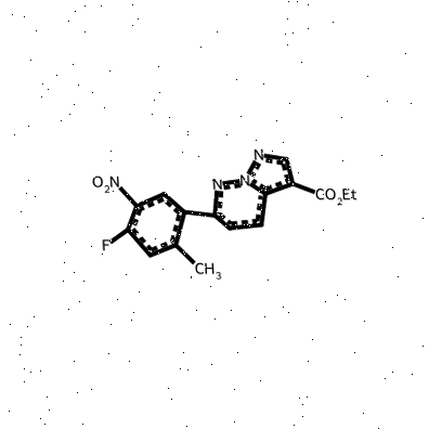 CCOC(=O)c1cnn2nc(-c3cc([N+](=O)[O-])c(F)cc3C)ccc12